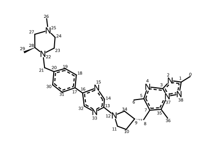 Cc1nc2nc(C)c(C[C@@H]3CCN(c4cnc(-c5ccc(CN6CCN(C)C[C@@H]6C)cc5)cn4)C3)c(C)n2n1